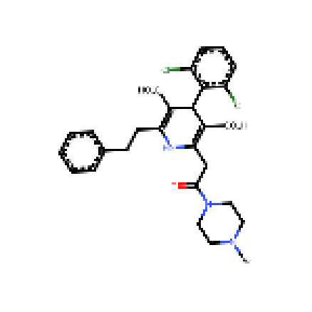 CC(=O)N1CCN(C(=O)CC2=C(C(=O)O)C(c3c(Cl)cccc3Cl)C(C(=O)O)=C(CCc3ccccc3)N2)CC1